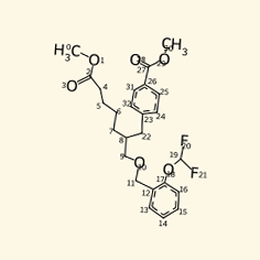 COC(=O)CCCCC(COCc1ccccc1OC(F)F)Cc1ccc(C(=O)OC)cc1